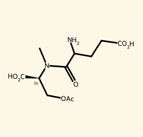 CC(=O)OC[C@@H](C(=O)O)N(C)C(=O)C(N)CCC(=O)O